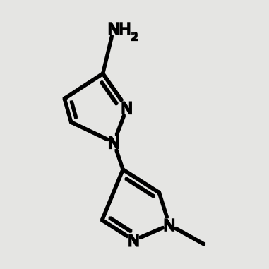 Cn1cc(-n2ccc(N)n2)cn1